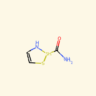 NC(=O)[SH]1NC=CS1